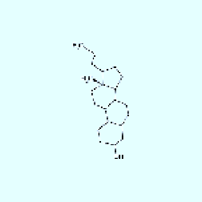 C[C@]12CCC3C4CCC(O)CC4CCC3C1CCC2CCC(F)(F)F